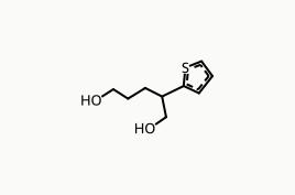 OCCCC(CO)c1cccs1